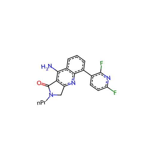 CCCN1Cc2nc3c(-c4ccc(F)nc4F)cccc3c(N)c2C1=O